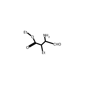 CCOC(=O)C(CC)C(N)C=O